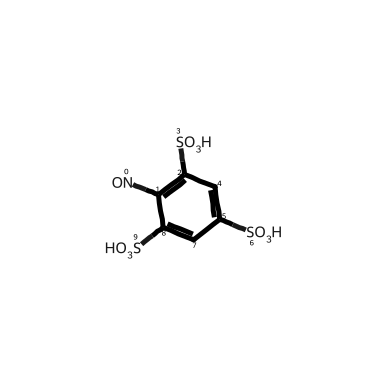 O=Nc1c(S(=O)(=O)O)cc(S(=O)(=O)O)cc1S(=O)(=O)O